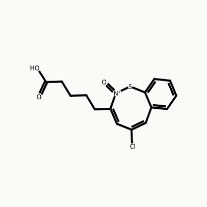 O=C(O)CCCC/C1=C/C(Cl)=C\c2ccccc2S[N+]1=O